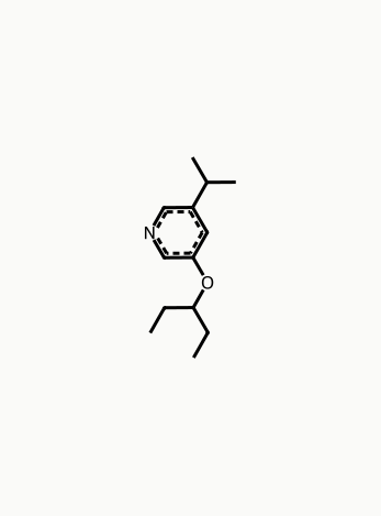 CCC(CC)Oc1cncc(C(C)C)c1